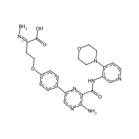 B/N=C(/CCOc1ccc(-c2cnc(N)c(C(=O)Nc3cnccc3N3CCOCC3)n2)cc1)C(=O)O